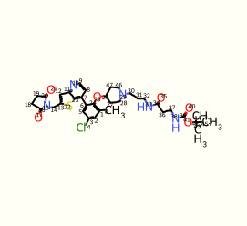 Cc1cc(Cl)cc(-c2ccnc3cc(CN4C(=O)CCC4=O)sc23)c1OC1CCN(CCCNC(=O)CCNC(=O)OC(C)(C)C)CC1